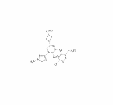 CCOC(=O)c1nnc(Cl)cc1Nc1cc(N2CC(OC)C2)cc(-c2ncn(C)n2)c1OC